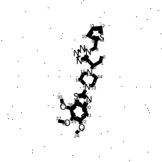 CCC(c1nnnn1Cc1cccs1)N1CCN(c2nc3cc(OC)c(OC)c(OC)c3s2)CC1